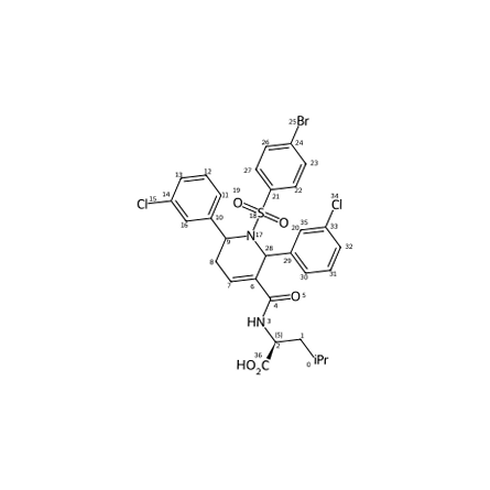 CC(C)C[C@H](NC(=O)C1=CCC(c2cccc(Cl)c2)N(S(=O)(=O)c2ccc(Br)cc2)C1c1cccc(Cl)c1)C(=O)O